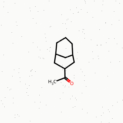 CC(=O)C1CC2CCCC(C2)C1